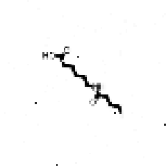 O=C(O)CCCCCNC(=O)CCCI